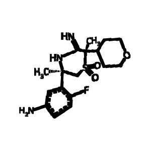 C[C@@]1(c2cc(N)ccc2F)CS(=O)(=O)[C@@](C)(C2CCOCC2)C(=N)N1